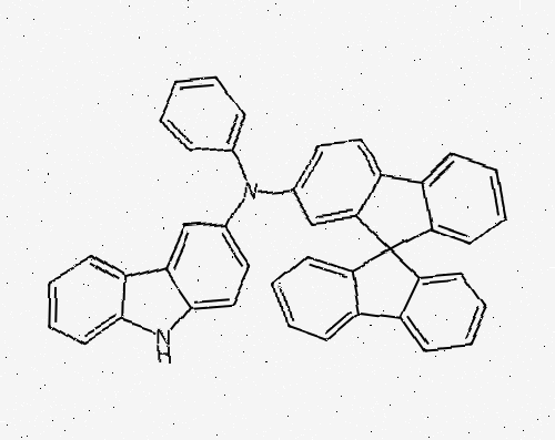 c1ccc(N(c2ccc3c(c2)C2(c4ccccc4-c4ccccc42)c2ccccc2-3)c2ccc3[nH]c4ccccc4c3c2)cc1